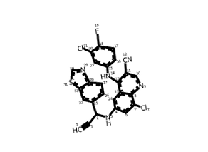 C#CC(Nc1cc(Cl)c2ncc(C#N)c(Nc3ccc(F)c(Cl)c3)c2c1)c1ccc2ncsc2c1